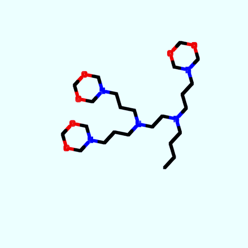 CCCCN(CCCN1COCOC1)CCN(CCCN1COCOC1)CCCN1COCOC1